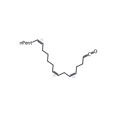 CCCCC/C=C\CCCC/C=C\C/C=C\CCC=C=O